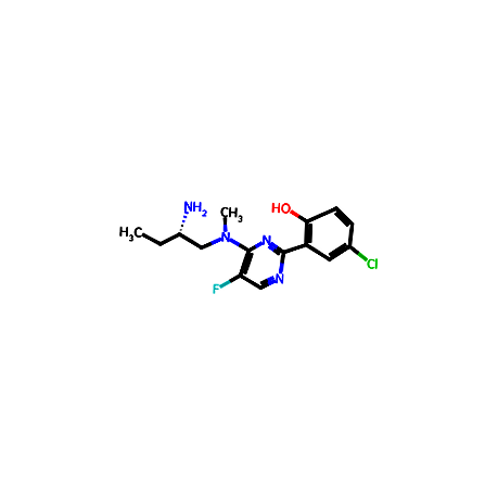 CC[C@H](N)CN(C)c1nc(-c2cc(Cl)ccc2O)ncc1F